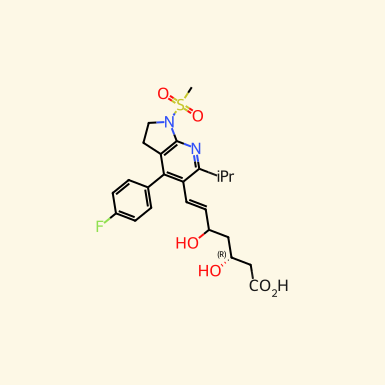 CC(C)c1nc2c(c(-c3ccc(F)cc3)c1C=CC(O)C[C@@H](O)CC(=O)O)CCN2S(C)(=O)=O